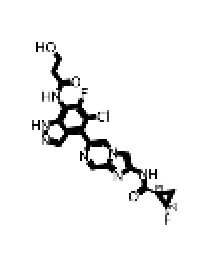 O=C(CCO)Nc1c(F)c(Cl)c(-c2cn3cc(NC(=O)[C@H]4C[C@@H]4F)nc3cn2)c2cn[nH]c12